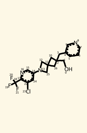 OCC1(Cc2cccnc2)CC2(CN(c3cnc(C(F)(F)F)c(Cl)c3)C2)C1